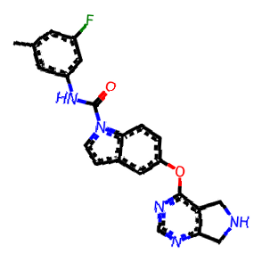 Cc1cc(F)cc(NC(=O)n2ccc3cc(Oc4ncnc5c4CNC5)ccc32)c1